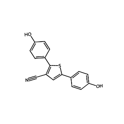 N#Cc1cc(-c2ccc(O)cc2)sc1-c1ccc(O)cc1